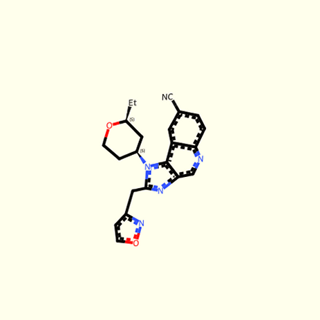 CC[C@H]1C[C@@H](n2c(Cc3ccon3)nc3cnc4ccc(C#N)cc4c32)CCO1